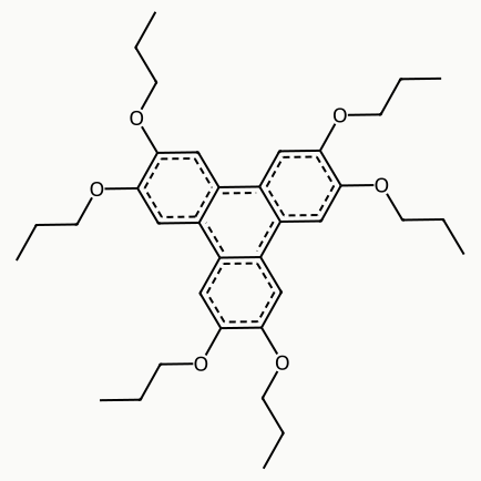 CCCOc1cc2c3cc(OCCC)c(OCCC)cc3c3cc(OCCC)c(OCCC)cc3c2cc1OCCC